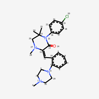 CN1CCN(c2ccccc2C=C2C(=O)N(c3ccc(Cl)cc3)C(C)(C)CN2C)CC1